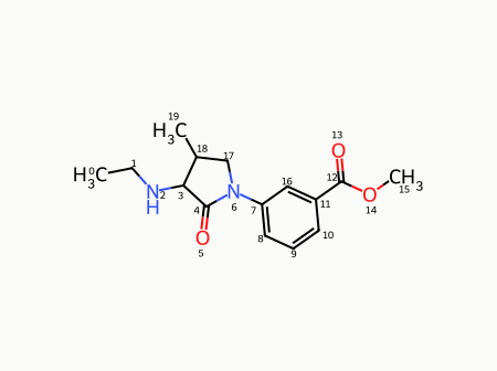 CCNC1C(=O)N(c2cccc(C(=O)OC)c2)CC1C